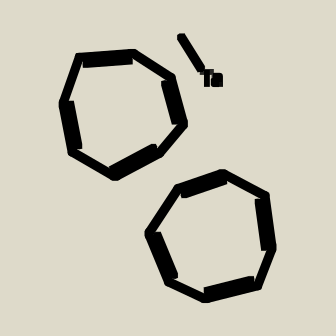 C1=C\C=C/C=C\C=C/1.C1=C\C=C/C=C\C=C/1.[CH3][Ta]